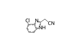 N#CCc1nc2c(Cl)cccc2[nH]1